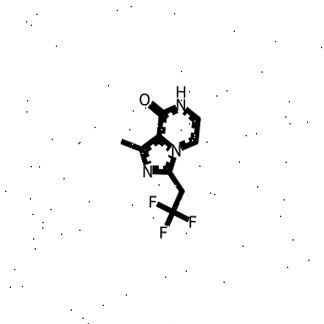 Cc1nc(CC(F)(F)F)n2cc[nH]c(=O)c12